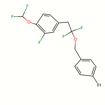 CCc1ccc(COC(F)(F)Cc2ccc(OC(F)F)c(F)c2)cc1